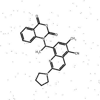 Cc1cc(C(C)n2c(=O)oc(=O)c3ccccc32)c2nc(N3CCCC3)ccc2c1C#N